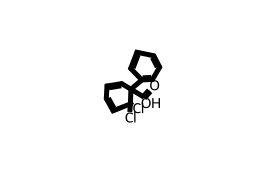 O=C(O)C1(c2ccccc2)C=CC=CC1(Cl)Cl